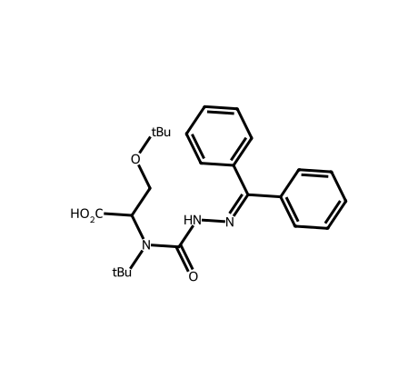 CC(C)(C)OCC(C(=O)O)N(C(=O)NN=C(c1ccccc1)c1ccccc1)C(C)(C)C